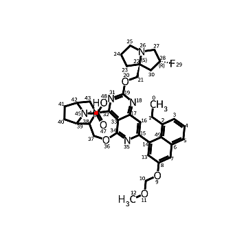 CCc1cccc2cc(OCOC)cc(-c3cc4nc(OC[C@@]56CCCN5C[C@H](F)C6)nc5c4c(n3)OCC3C4CCC(CN53)N4C(=O)O)c12